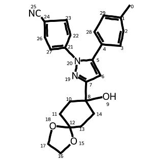 Cc1ccc(-c2cc(C3(O)CCC4(CC3)OCCO4)nn2-c2ccc(C#N)cc2)cc1